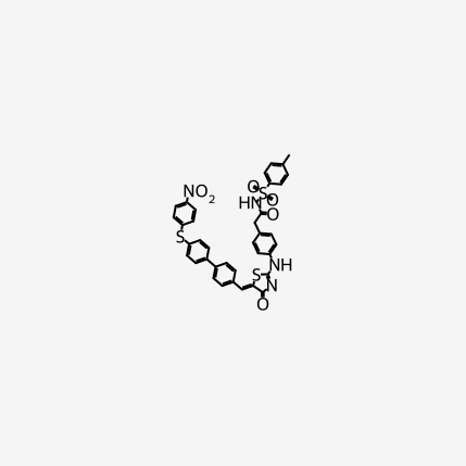 Cc1ccc(S(=O)(=O)NC(=O)Cc2ccc(NC3=NC(=O)C(=Cc4ccc(-c5ccc(Sc6ccc([N+](=O)[O-])cc6)cc5)cc4)S3)cc2)cc1